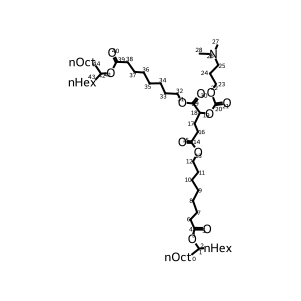 CCCCCCCCC(CCCCCC)OC(=O)CCCCCCCOC(=O)CCC(OC(=O)OCCCN(C)C)C(=O)OCCCCCCCC(=O)OC(CCCCCC)CCCCCCCC